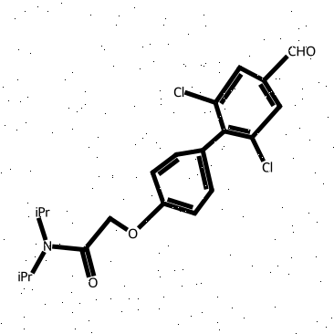 CC(C)N(C(=O)COc1ccc(-c2c(Cl)cc(C=O)cc2Cl)cc1)C(C)C